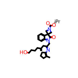 C=C(CCCCO)C/C(CN1C(=O)C2(CN(C(=O)OC(C)C)C2)c2ccccc21)=N\C1=C(C)CCC1